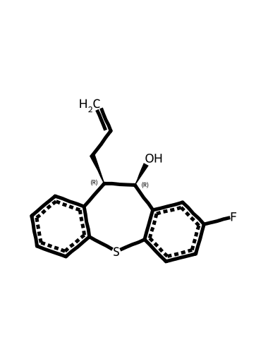 C=CC[C@@H]1c2ccccc2Sc2ccc(F)cc2[C@@H]1O